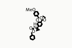 COc1ccc(COc2cc(C3(NC(=O)OCc4ccccc4)CC3)ccc2C2OCCO2)cc1